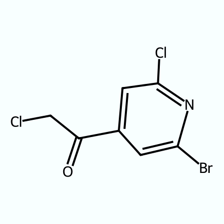 O=C(CCl)c1cc(Cl)nc(Br)c1